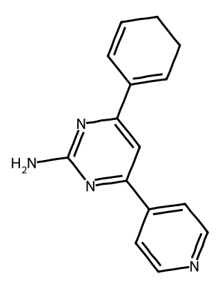 Nc1nc(C2=CCCC=C2)cc(-c2ccncc2)n1